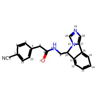 N#Cc1ccc(CC(=O)NCC2c3ccccc3-c3cncn32)cc1